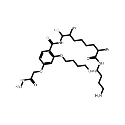 CCCCNC(=O)COc1ccc(C(=O)NC(O)C(CCCCC(C(=O)NCCCCN)C(C)C)C(C)C)c(OCCCCOC)c1